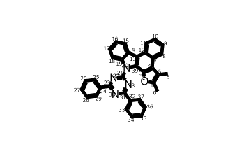 Cc1oc2c(c1C)c1ccccc1c1c3ccccc3n(-c3nc(-c4ccccc4)nc(-c4ccccc4)n3)c21